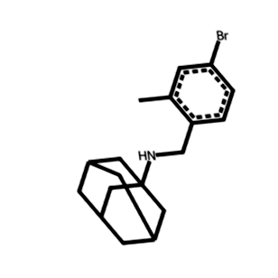 Cc1cc(Br)ccc1CNC12CC3CC(CC(C3)C1)C2